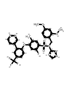 COc1ccc(CN(c2nncs2)S(=O)(=O)c2cc(C)c(Oc3ccc(C(F)(F)F)cc3-c3ccnnc3)cc2F)c(OC)c1